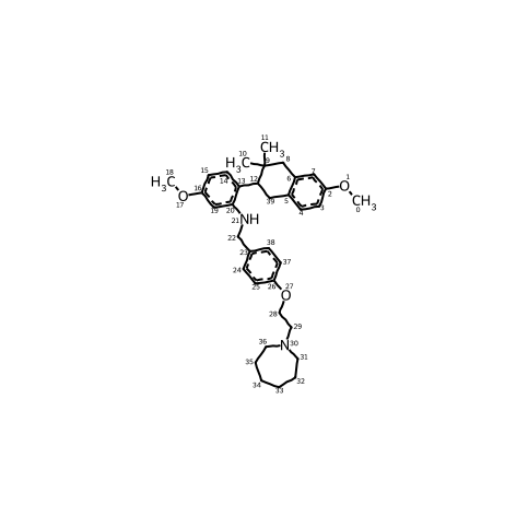 COc1ccc2c(c1)CC(C)(C)C(c1ccc(OC)cc1NCc1ccc(OCCN3CCCCCC3)cc1)C2